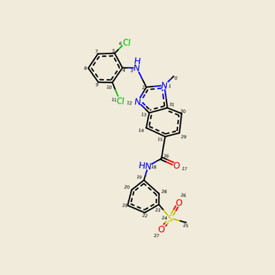 Cn1c(Nc2c(Cl)cccc2Cl)nc2cc(C(=O)Nc3cccc(S(C)(=O)=O)c3)ccc21